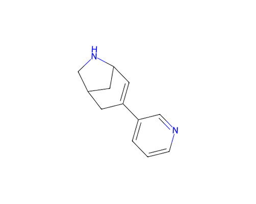 C1=C(c2cccnc2)CC2CNC1C2